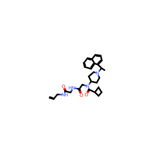 C=CCNC(=O)CNC(=O)CN(C(=O)C1CCC1)C1CCN(C(C)c2cccc3ccccc23)CC1